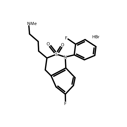 Br.CNCCCC1Cc2cc(F)ccc2N(c2ccccc2F)S1(=O)=O